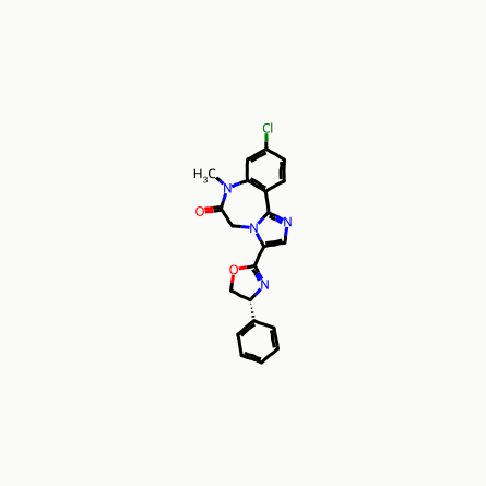 CN1C(=O)Cn2c(C3=N[C@H](c4ccccc4)CO3)cnc2-c2ccc(Cl)cc21